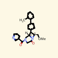 COC[C@@H]1C(c2ccc(-c3ccccc3C)cc2)[C@H]2CN(C(=O)c3cccnc3)CC(=O)N12